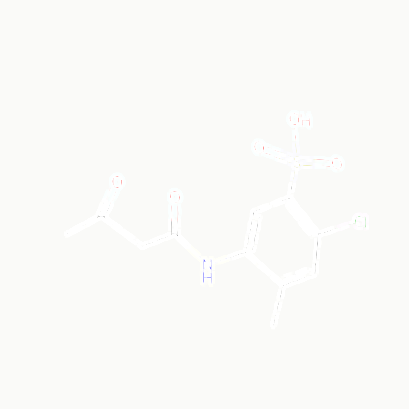 CC(=O)CC(=O)Nc1cc(S(=O)(=O)O)c(Cl)cc1C